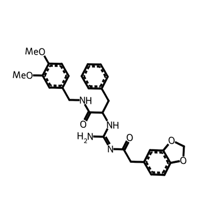 COc1ccc(CNC(=O)C(Cc2ccccc2)NC(N)=NC(=O)Cc2ccc3c(c2)OCO3)cc1OC